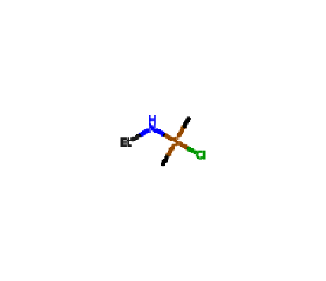 CCNS(C)(C)Cl